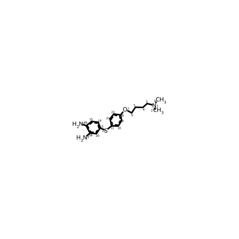 CN(C)CCCCOc1ccc(Sc2ccc(N)c(N)c2)cc1